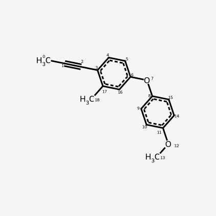 CC#Cc1ccc(Oc2ccc(OC)cc2)cc1C